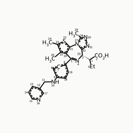 CCC(C(=O)O)[C@@H]1N=C(c2ccc(NCc3cccnc3)cc2)c2c(sc(C)c2C)-n2c(C)nnc21